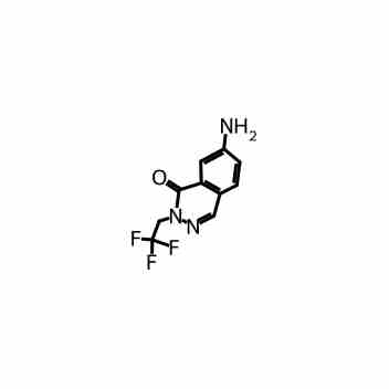 Nc1ccc2cnn(CC(F)(F)F)c(=O)c2c1